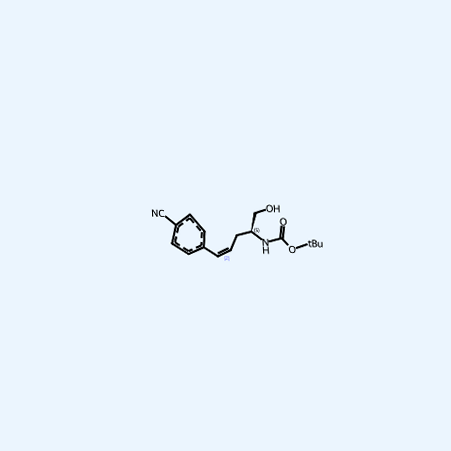 CC(C)(C)OC(=O)N[C@H](CO)C/C=C\c1ccc(C#N)cc1